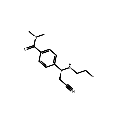 [CH2]CCN[C@@H](CC#N)c1ccc(C(=O)N(C)C)cc1